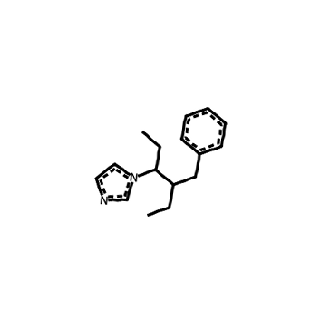 CCC(Cc1ccccc1)C(CC)n1ccnc1